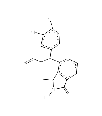 C=CCC(c1ccc(Cl)c(Cl)c1)c1cccc2c1C(O)N(CCC)C2=O